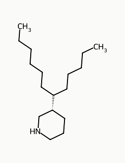 CCCCCCC(CCCCC)[C@@H]1CCCNC1